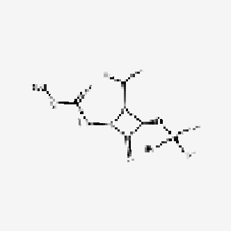 CC(C)[Si](O[C@H]1C(=O)N(NC(=O)OC(C)(C)C)[C@H]1C(F)F)(C(C)C)C(C)C